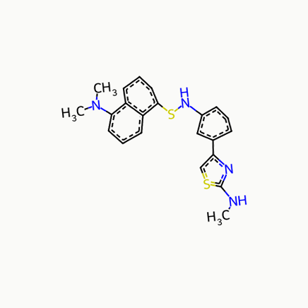 CNc1nc(-c2cccc(NSc3cccc4c(N(C)C)cccc34)c2)cs1